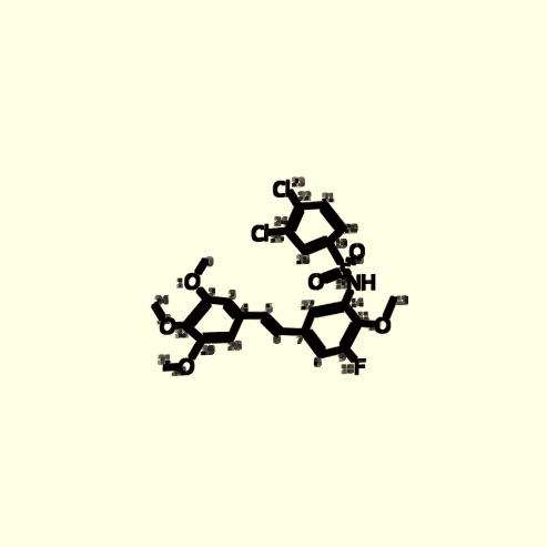 COc1cc(C=Cc2cc(F)c(OC)c(NS(=O)(=O)c3ccc(Cl)c(Cl)c3)c2)cc(OC)c1OC